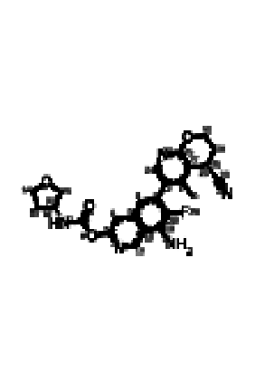 Cc1c(-c2cc3cc(OC(=O)N[C@@H]4CCOC4)ncc3c(N)c2F)cnc2c1[C@H](C#N)CCO2